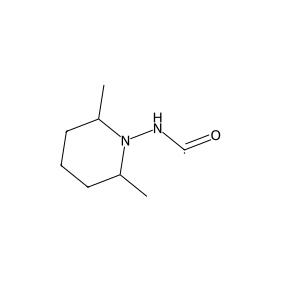 CC1CCCC(C)N1N[C]=O